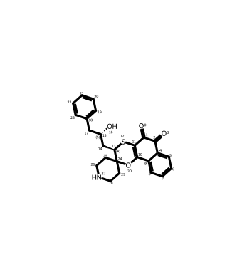 O=C1C(=O)c2ccccc2C2=C1S[C@H](C[C@@H](O)Cc1ccccc1)C1(CCNCC1)O2